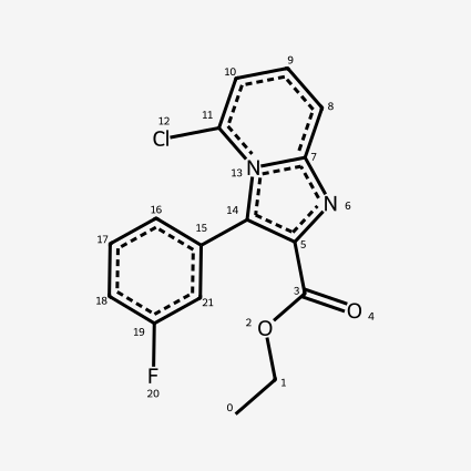 CCOC(=O)c1nc2cccc(Cl)n2c1-c1cccc(F)c1